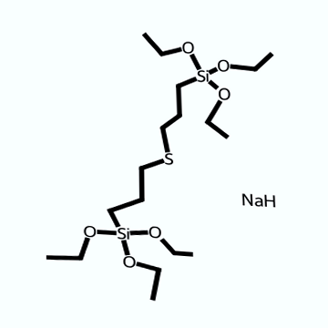 CCO[Si](CCCSCCC[Si](OCC)(OCC)OCC)(OCC)OCC.[NaH]